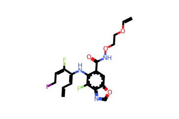 C=C/C=C(Nc1c(C(=O)NOCCOC=C)cc2ocnc2c1F)\C(F)=C/CI